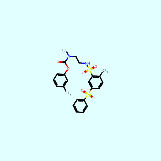 CN(CCNS(=O)(=O)c1cc(S(=O)(=O)c2ccccc2)ccc1C(F)(F)F)C(=O)Oc1cccc(C(F)(F)F)c1